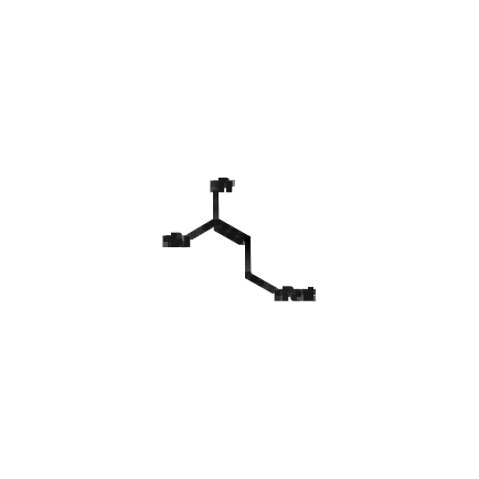 [CH2]CCC(=CCCCCCC)CCCC